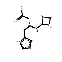 CCC(=O)C[C@@H](Cc1cccs1)NC1OCO1